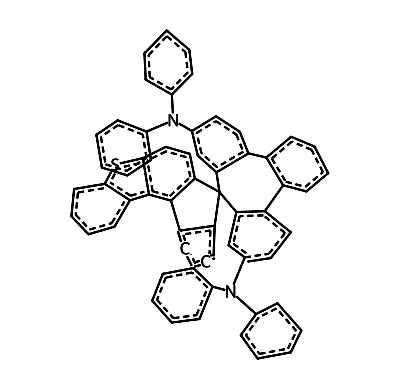 c1ccc(N(c2ccccc2)c2ccc3c(c2)C2(c4cc(N(c5ccccc5)c5ccccc5)ccc4-c4ccccc4-3)c3ccccc3-c3c2ccc2sc4ccccc4c32)cc1